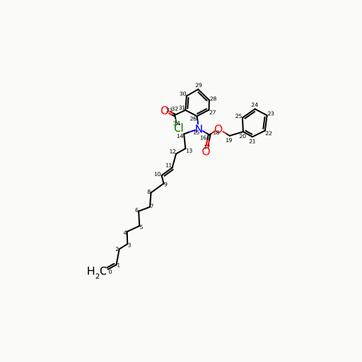 C=CCCCCCCCCC=CCCCN(C(=O)OCc1ccccc1)c1ccccc1C(=O)Cl